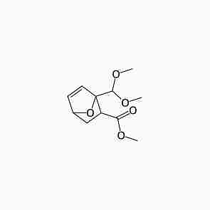 COC(=O)C1CC2C=CC1(C(OC)OC)O2